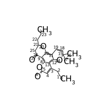 CCCc1cc(=O)oc2c3c(c4c(c12)OC(C)(C)C=C4)OC(CCC)CC3=O